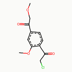 COCC(=O)c1ccc(C(=O)CCl)c(OC)c1